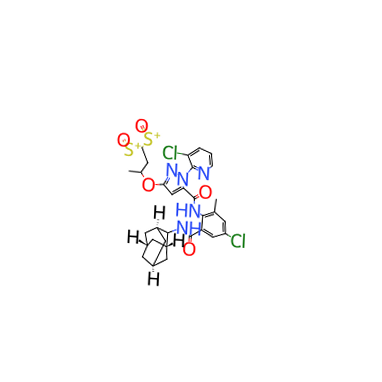 Cc1cc(Cl)cc(C(=O)NC2[C@H]3C[C@@H]4C[C@@H](C[C@H]2C4)C3)c1NC(=O)c1cc(OC(C)CC([S+]=O)[S+]=O)nn1-c1ncccc1Cl